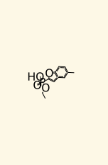 CCOP(=O)(O)c1cc2cc(C)ccc2o1